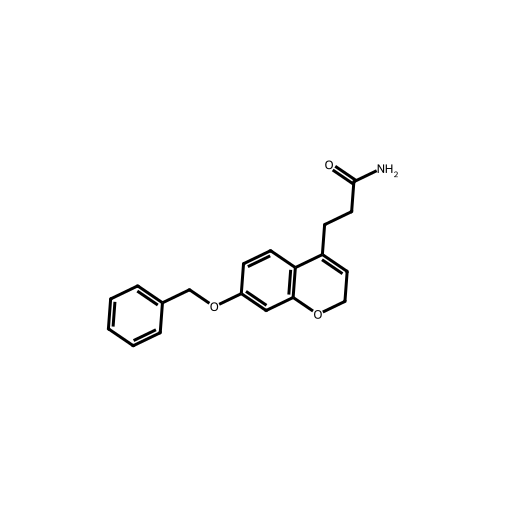 NC(=O)CCC1=CCOc2cc(OCc3ccccc3)ccc21